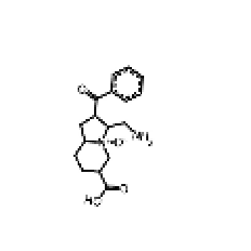 NCC1C(C(=O)c2ccccc2)CC2CCC(C(=O)O)C[N+]21[O-]